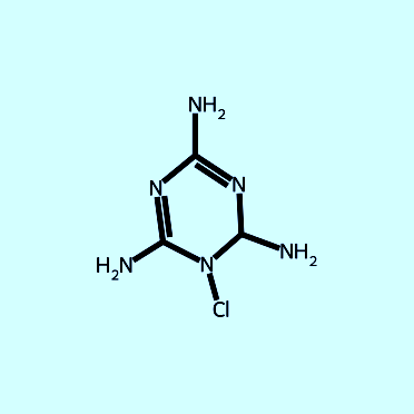 NC1=NC(N)N(Cl)C(N)=N1